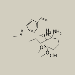 C=CC.C=Cc1ccccc1.CCCC1(OC)C(N)(N)CCC[Si]1(OC)OC.Cl